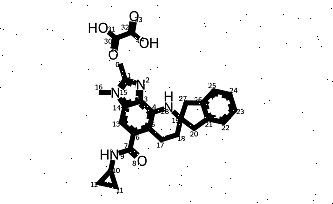 Cc1nc2c3c(c(C(=O)NC4CC4)cc2n1C)CCC1(Cc2ccccc2C1)N3.O=C(O)C(=O)O